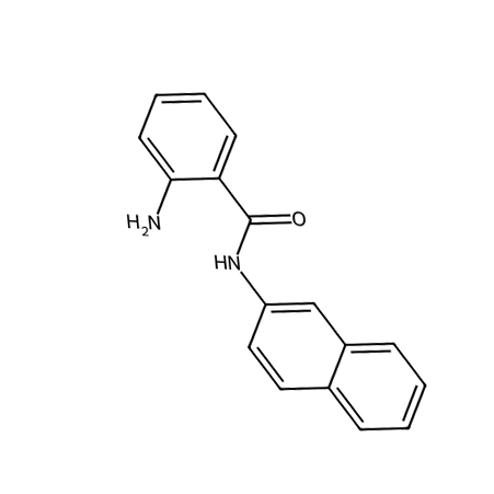 Nc1ccccc1C(=O)Nc1ccc2ccccc2c1